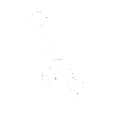 N=c1n(CCCOc2ccccc2)c2ccccc2n1Cc1ccc(Br)cc1